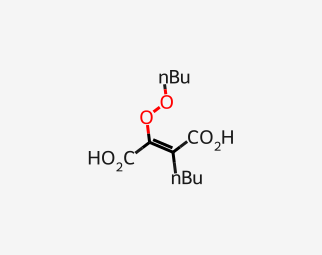 CCCCOOC(C(=O)O)=C(CCCC)C(=O)O